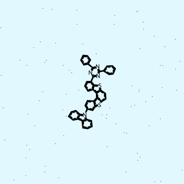 c1ccc(-c2nc(-c3ccccc3)nc(-c3cccc4c3sc3ccc5sc6cc(-n7c8ccccc8c8ccccc87)ccc6c5c34)n2)cc1